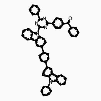 O=C(c1ccccc1)c1ccc(-c2nc(-c3ccccc3)nc(-n3c4ccccc4c4cc(-c5ccc(-c6ccc7c(c6)c6ccccc6n7-c6ccccc6)cc5)ccc43)n2)cc1